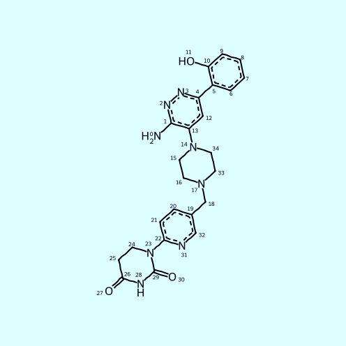 Nc1nnc(-c2ccccc2O)cc1N1CCN(Cc2ccc(N3CCC(=O)NC3=O)nc2)CC1